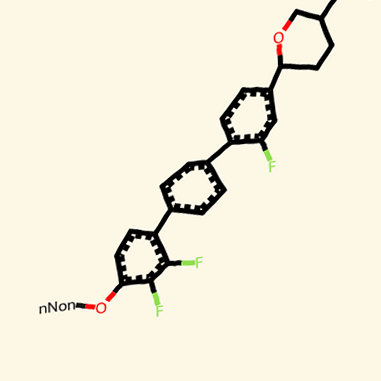 C=CC1CCC(c2ccc(-c3ccc(-c4ccc(OCCCCCCCCC)c(F)c4F)cc3)c(F)c2)OC1